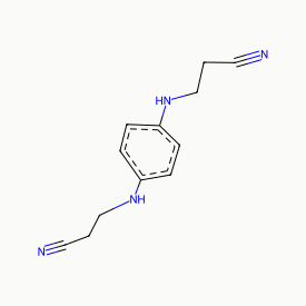 N#CCCNc1ccc(NCCC#N)cc1